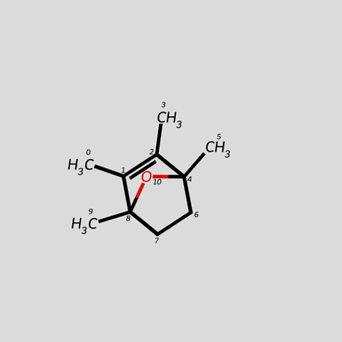 CC1=C(C)C2(C)CCC1(C)O2